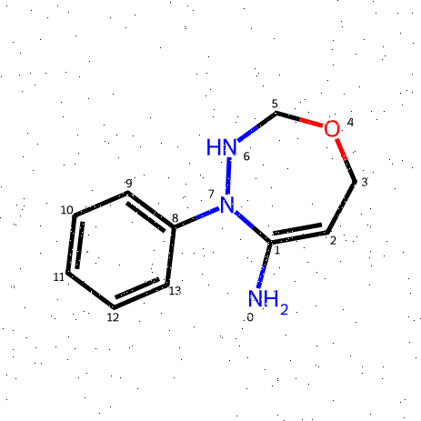 NC1=CCOCNN1c1ccccc1